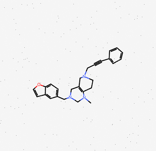 CN1CN(Cc2ccc3occc3c2)CC2=C1CCN(CC#Cc1ccccc1)C2